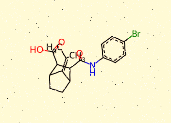 CC(C)=C1C2CCC1C(C(=O)Nc1ccc(Br)cc1)C2C(=O)O